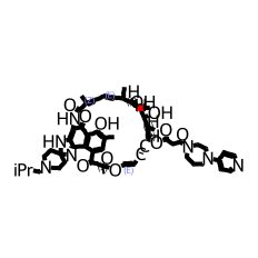 C/C1=C/C=C/C(C)[C@H](O)[C@@H](C)C(O)[C@@H](C)[C@H](OC(=O)CC(=O)N2CCCN(c3ccncc3)CC2)CC/C=C/O[C@@]2(C)Oc3c(C)c(O)c4c(c3C2=O)C2=NC3(CCN(CC(C)C)CC3)NC2=C(NC1=O)C4=O